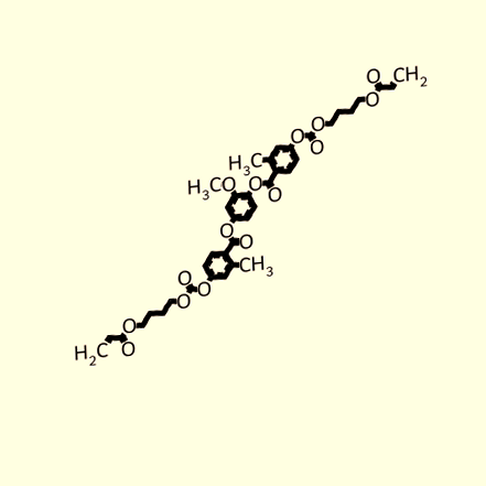 C=CC(=O)OCCCCOC(=O)Oc1ccc(C(=O)Oc2ccc(OC(=O)c3ccc(OC(=O)OCCCCOC(=O)C=C)cc3C)c(OC)c2)c(C)c1